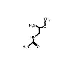 COC([SiH3])CNC(N)=O